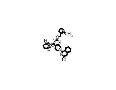 CN1CCCC1COc1nc2c(c(N3C[C@H]4CC[C@@H](C3)N4C(=O)O)n1)CCN(c1nc(Cl)cc3ccccc13)C2